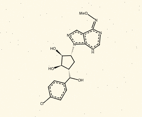 CO/N=c1/nc[nH]c2c1cnn2[C@@H]1C[C@H](C(O)c2ccc(Cl)cc2)[C@@H](O)[C@H]1O